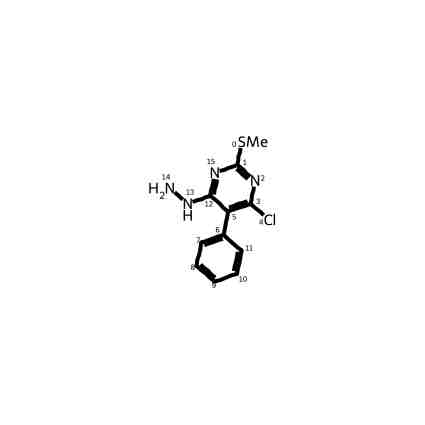 CSc1nc(Cl)c(-c2ccccc2)c(NN)n1